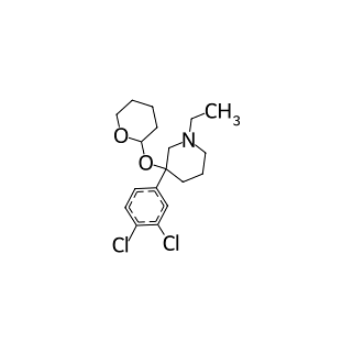 CCN1CCCC(OC2CCCCO2)(c2ccc(Cl)c(Cl)c2)C1